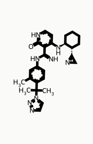 Cc1cc(NC(=N)c2c(N[C@H]3CCCC[C@@H]3C3=NC3)cc[nH]c2=O)ccc1C(C)(C)n1ccnn1